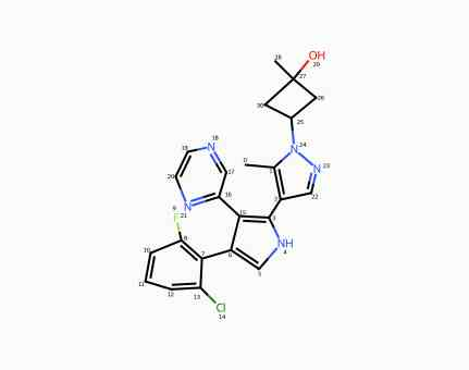 Cc1c(-c2[nH]cc(-c3c(F)cccc3Cl)c2-c2cnccn2)cnn1C1CC(C)(O)C1